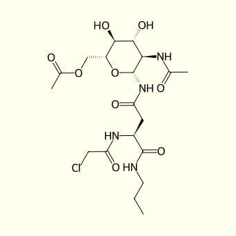 CCCNC(=O)[C@H](CC(=O)N[C@@H]1O[C@H](COC(C)=O)[C@@H](O)[C@H](O)[C@H]1NC(C)=O)NC(=O)CCl